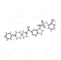 O=C(c1ccc2c(c1)C(NS(=O)(=O)Cc1ccccc1C(F)(F)F)CC2)N1CCC2(CCN(c3ccncc3)CC2)C1